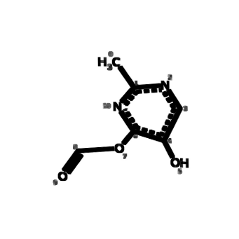 Cc1ncc(O)c(OC=O)n1